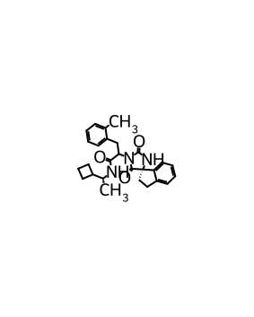 Cc1ccccc1CC(C(=O)N[C@@H](C)C1CCC1)N1C(=O)N[C@]2(CCc3ccccc32)C1=O